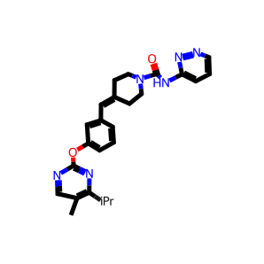 Cc1cnc(Oc2cccc(C=C3CCN(C(=O)Nc4cccnn4)CC3)c2)nc1C(C)C